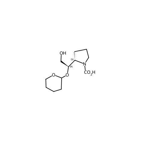 O=C(O)N1CCC[C@H]1[C@H](CO)OC1CCCCO1